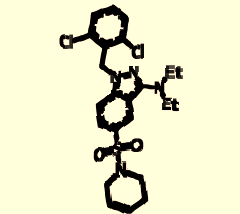 CCN(CC)c1nn(Cc2c(Cl)cccc2Cl)c2ccc(S(=O)(=O)N3CC=CCC3)cc12